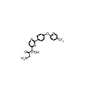 NCC(=O)[C@H](O)c1ccnc(-c2ccc(Oc3ccc(C(F)(F)F)cn3)cc2)n1